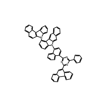 c1ccc(-c2nc(-c3ccc(-n4c5cc6ccccc6cc5c5c(-n6c7ccccc7c7c8ccccc8ccc76)cccc54)c4ccccc34)nc(-c3cc4ccccc4c4ccccc34)n2)cc1